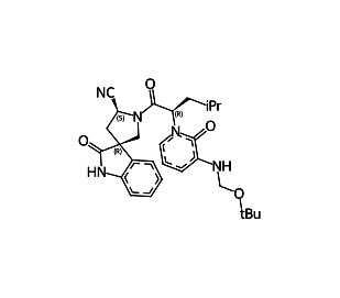 CC(C)C[C@H](C(=O)N1C[C@]2(C[C@H]1C#N)C(=O)Nc1ccccc12)n1cccc(NCOC(C)(C)C)c1=O